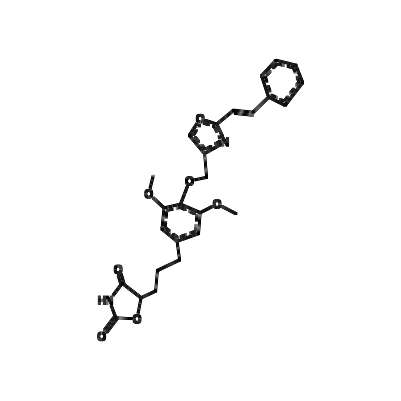 COc1cc(CCCC2OC(=O)NC2=O)cc(OC)c1OCc1coc(C=Cc2ccccc2)n1